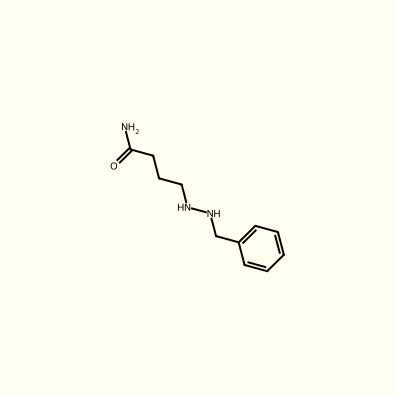 NC(=O)CCCNNCc1ccccc1